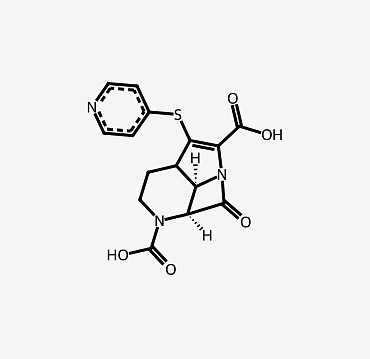 O=C(O)C1=C(Sc2ccncc2)C2CCN(C(=O)O)[C@@H]3C(=O)N1[C@H]23